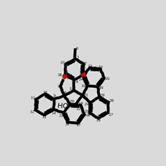 Cc1ccc(C(C2(CO)c3ccccc3-c3ccccc32)C2(CO)c3ccccc3-c3ccccc32)cc1